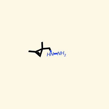 CC1=CC1(C)CNN